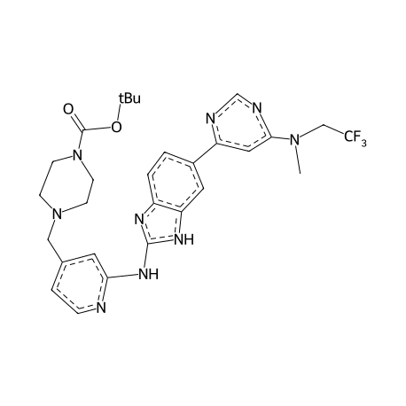 CN(CC(F)(F)F)c1cc(-c2ccc3nc(Nc4cc(CN5CCN(C(=O)OC(C)(C)C)CC5)ccn4)[nH]c3c2)ncn1